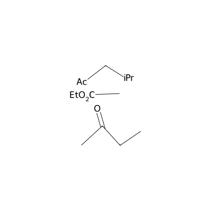 CC(=O)CC(C)C.CCC(C)=O.CCOC(C)=O